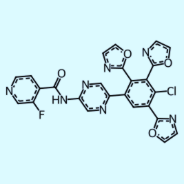 O=C(Nc1cnc(-c2cc(-c3ncco3)c(Cl)c(-c3ncco3)c2-c2ncco2)cn1)c1ccncc1F